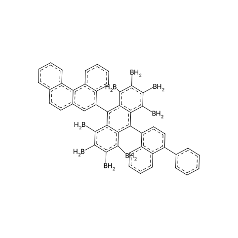 Bc1c(B)c(B)c2c(-c3cc4ccc5ccccc5c4c4ccccc34)c3c(B)c(B)c(B)c(B)c3c(-c3ccc(-c4ccccc4)c4ccccc34)c2c1B